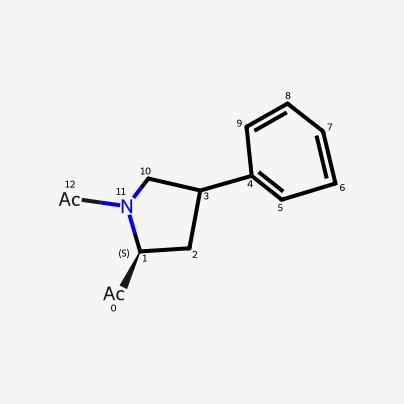 CC(=O)[C@@H]1CC(c2ccccc2)CN1C(C)=O